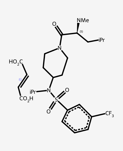 CN[C@@H](CC(C)C)C(=O)N1CCC(N(C(C)C)S(=O)(=O)c2cccc(C(F)(F)F)c2)CC1.O=C(O)/C=C/C(=O)O